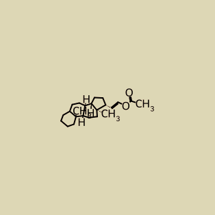 CC(=O)OC=C[C@H]1CC[C@H]2[C@@H]3CCC4CCCC[C@]4(C)[C@H]3CC[C@]12C